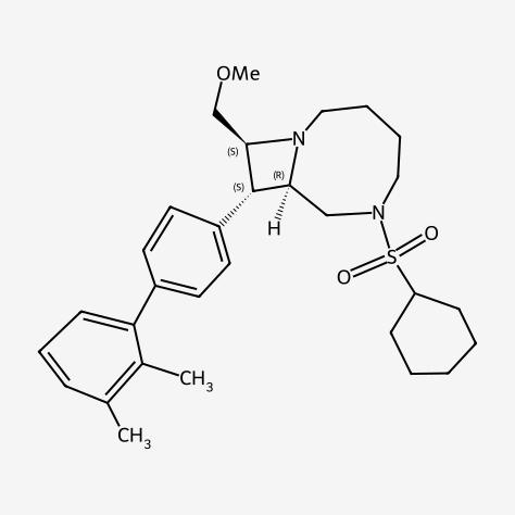 COC[C@@H]1[C@@H](c2ccc(-c3cccc(C)c3C)cc2)[C@@H]2CN(S(=O)(=O)C3CCCCC3)CCCCN12